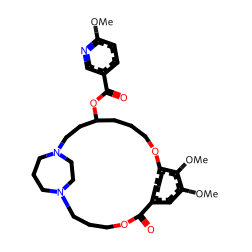 COc1ccc(C(=O)OC2CCCOc3cc(cc(OC)c3OC)C(=O)OCCCN3CCCN(CC2)CC3)cn1